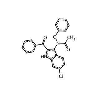 CC(=O)N(Oc1ccccc1)c1c(C(=O)c2ccccc2)[nH]c2cc(Cl)ccc12